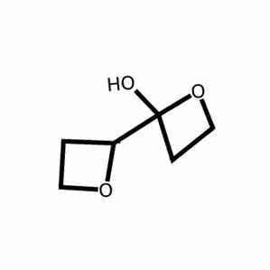 OC1([C]2CCO2)CCO1